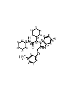 Cc1cccc(OCc2nc3cc(F)ccc3n2C(C(=O)NC2CCCCC2)C2CCCCC2)c1